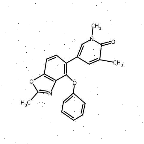 Cc1nc2c(Oc3ccccc3)c(-c3cc(C)c(=O)n(C)c3)ccc2o1